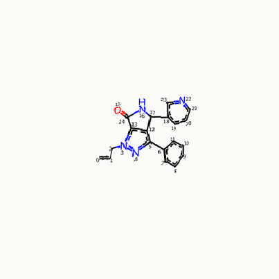 C=CCn1nc(-c2ccccc2)c2c1C(=O)NC2c1cccnc1